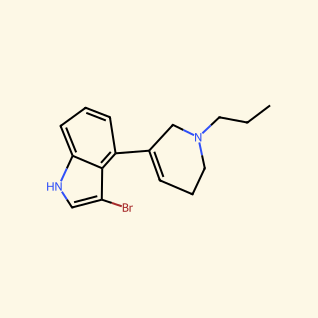 CCCN1CCC=C(c2cccc3[nH]cc(Br)c23)C1